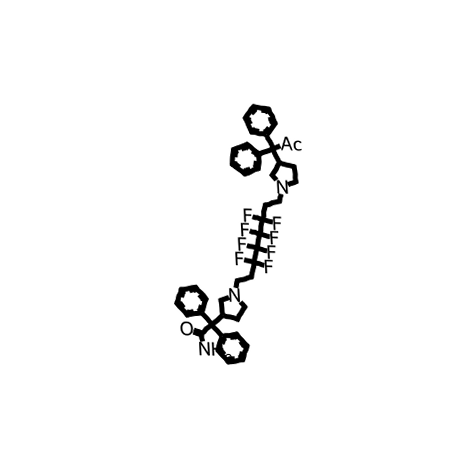 CC(=O)C(c1ccccc1)(c1ccccc1)C1CCN(CCC(F)(F)C(F)(F)C(F)(F)C(F)(F)CCN2CCC(C(C(N)=O)(c3ccccc3)c3ccccc3)C2)C1